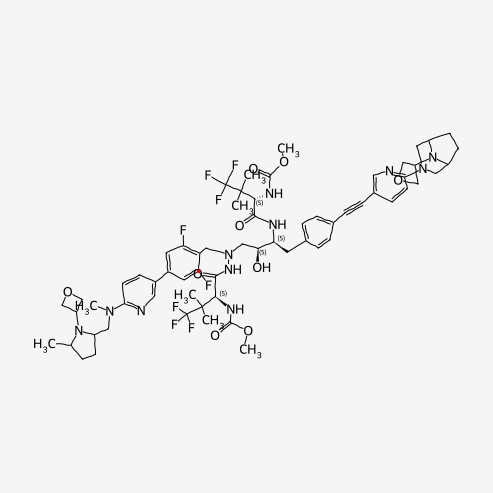 COC(=O)N[C@H](C(=O)N[C@@H](Cc1ccc(C#Cc2ccc(N3CC4CCC(C3)N4C3COC3)nc2)cc1)[C@@H](O)CN(Cc1c(F)cc(-c2ccc(N(C)CC3CCC(C)N3C3COC3)nc2)cc1F)NC(=O)[C@@H](NC(=O)OC)C(C)(C)C(F)(F)F)C(C)(C)C(F)(F)F